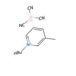 CCCC[n+]1cccc(C)c1.N#C[BH-](C#N)C#N